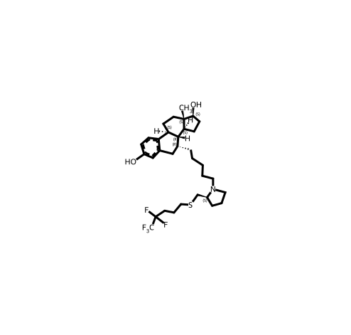 C[C@]12CC[C@@H]3c4ccc(O)cc4C[C@@H](CCCCCN4CCC[C@H]4CSCCCC(F)(F)C(F)(F)F)[C@H]3[C@@H]1CC[C@@H]2O